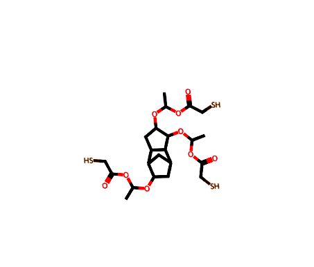 CC(OC(=O)CS)OC1CC2CC1C1CC(OC(C)OC(=O)CS)C(OC(C)OC(=O)CS)C21